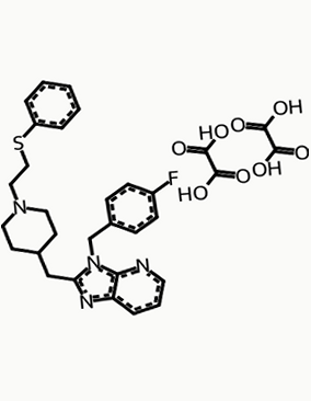 Fc1ccc(Cn2c(CC3CCN(CCSc4ccccc4)CC3)nc3cccnc32)cc1.O=C(O)C(=O)O.O=C(O)C(=O)O